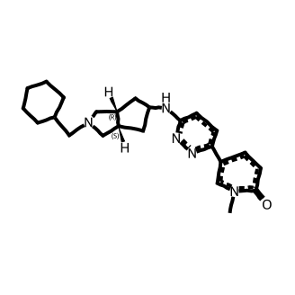 Cn1cc(-c2ccc(NC3C[C@@H]4CN(CC5CCCCC5)C[C@@H]4C3)nn2)ccc1=O